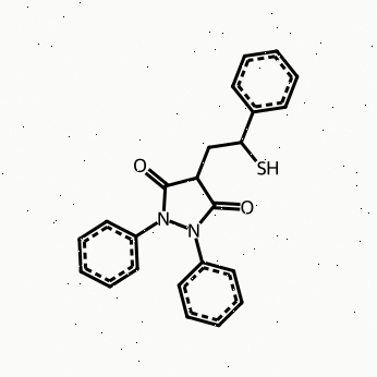 O=C1C(CC(S)c2ccccc2)C(=O)N(c2ccccc2)N1c1ccccc1